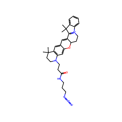 CC1(C)CCN(CCC(=O)NCCCN=[N+]=[N-])c2cc3c(cc21)C=C1C2=[N+](CCC1O3)c1ccccc1C2(C)C